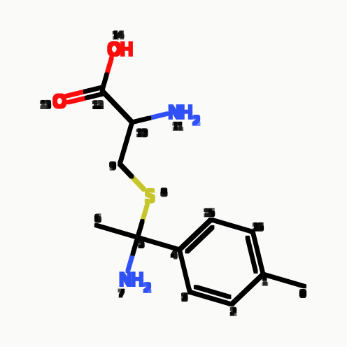 Cc1ccc(C(C)(N)SCC(N)C(=O)O)cc1